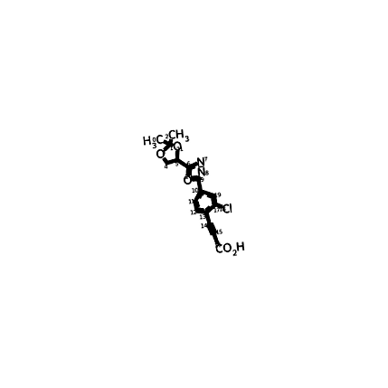 CC1(C)OCC(c2nnc(-c3ccc(C#CC(=O)O)c(Cl)c3)o2)O1